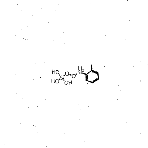 Cc1ccccc1[SiH2]OO[Si](O)(O)O